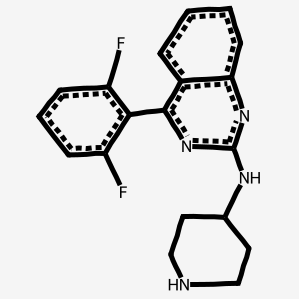 Fc1cccc(F)c1-c1nc(NC2CCNCC2)nc2ccccc12